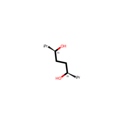 CC(C)[C@@H](O)CC[C@H](O)C(C)C